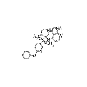 C[C@@H]1CCNC[C@]1(N(C)c1ccnc2[nH]ccc12)S(=O)(=O)c1ccc(Oc2ccccc2)nc1